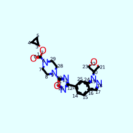 O=C(OC1CC1)N1CCN(c2nc(-c3ccc4cnn(C5COC5)c4c3)no2)CC1